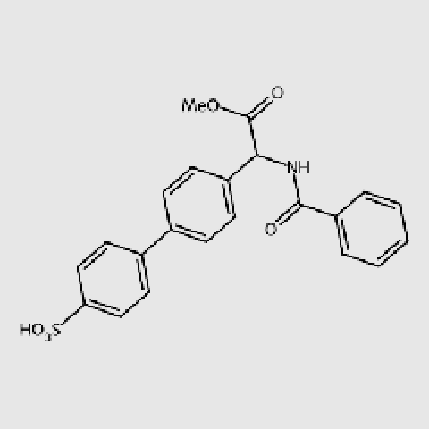 COC(=O)C(NC(=O)c1ccccc1)c1ccc(-c2ccc(S(=O)(=O)O)cc2)cc1